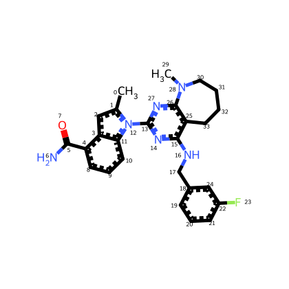 Cc1cc2c(C(N)=O)cccc2n1-c1nc(NCc2cccc(F)c2)c2c(n1)N(C)CCCC2